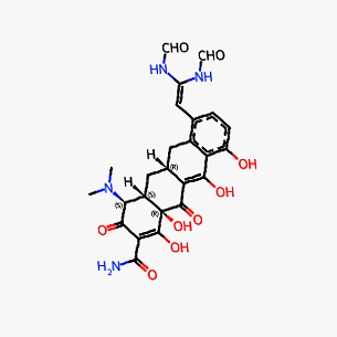 CN(C)[C@@H]1C(=O)C(C(N)=O)=C(O)[C@@]2(O)C(=O)C3=C(O)c4c(O)ccc(C=C(NC=O)NC=O)c4C[C@H]3C[C@@H]12